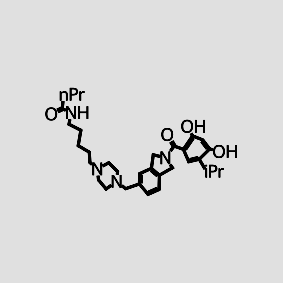 CCCC(=O)NCCCCCN1CCN(Cc2ccc3c(c2)CN(C(=O)c2cc(C(C)C)c(O)cc2O)C3)CC1